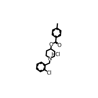 Cc1ccc(C(=O)OC2CCN(Cc3ccccc3Cl)CC2)cc1.Cl